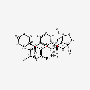 N[C@H](Cc1cc(F)c(F)cc1F)[C@@H]1C[C@H]2CC[C@@H](C1)N2C(=O)c1cccc(C(=O)N2CCOCC2)c1